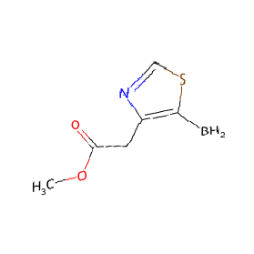 Bc1scnc1CC(=O)OC